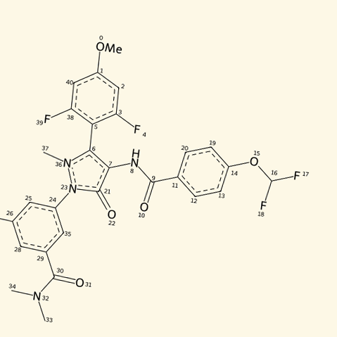 COc1cc(F)c(-c2c(NC(=O)c3ccc(OC(F)F)cc3)c(=O)n(-c3cc(Cl)cc(C(=O)N(C)C)c3)n2C)c(F)c1